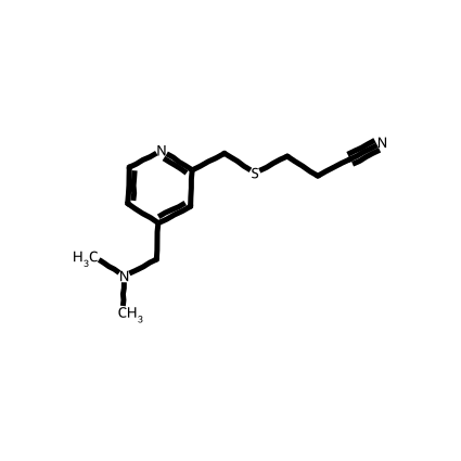 CN(C)Cc1ccnc(CSCCC#N)c1